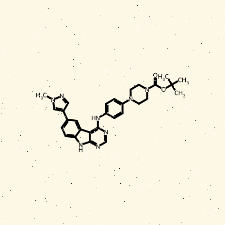 Cn1cc(-c2ccc3[nH]c4ncnc(Nc5ccc(N6CCN(C(=O)OC(C)(C)C)CC6)cc5)c4c3c2)cn1